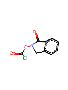 O=C(Cl)ON1Cc2ccccc2C1=O